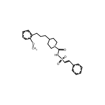 COc1ccccc1CCCC1CCN(C(=O)NS(=O)(=O)/C=C/c2ccccc2)CC1